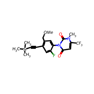 COCc1cc(-n2c(=O)cc(C(F)(F)F)n(C)c2=O)c(F)cc1C#C[Si](C)(C)C